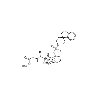 CC(C)(C)OC(=O)CNC(Br)C(=O)NC1CC2CCC1(CS(=O)(=O)N1CCC3(CCc4ccccc43)CC1)C2(C)C